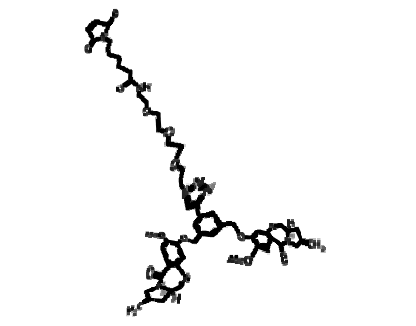 C=C1C[C@H]2C=Nc3cc(OCc4cc(COc5cc6c(cc5OC)C(=O)N5CC(=C)C[C@H]5C=N6)cc(-c5cn(CCOCCOCCOCCNC(=O)CCCCCN6C(=O)C=CC6=O)nn5)c4)c(OC)cc3C(=O)N2C1